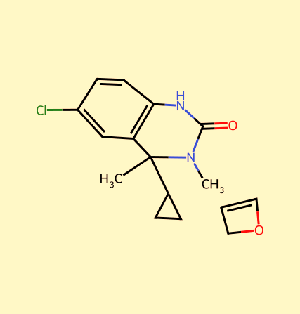 C1=COC1.CN1C(=O)Nc2ccc(Cl)cc2C1(C)C1CC1